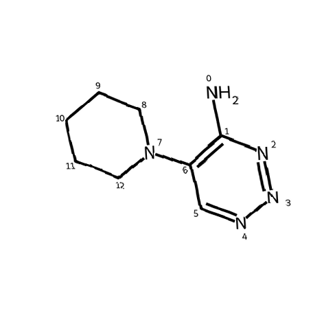 Nc1nnncc1N1CCCCC1